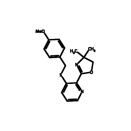 COc1ccc(CSc2cccnc2C2=NC(C)(C)CO2)cc1